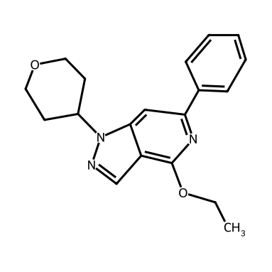 CCOc1nc(-c2ccccc2)cc2c1cnn2C1CCOCC1